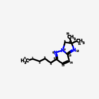 CCCCCC1=NN2CC(C)(C)N=C2C=C1